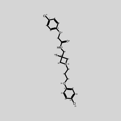 O=C(COc1ccc(Cl)cc1)NCC1(F)CN(CCCOc2ccc(Cl)cc2)C1